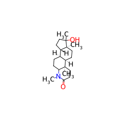 CN1C(=O)C=C[C@@]2(C)C1CC[C@@H]1[C@H]2CC[C@@]2(C)[C@H]1CCC2(C)O